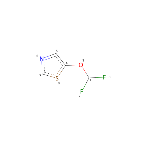 FC(F)Oc1cncs1